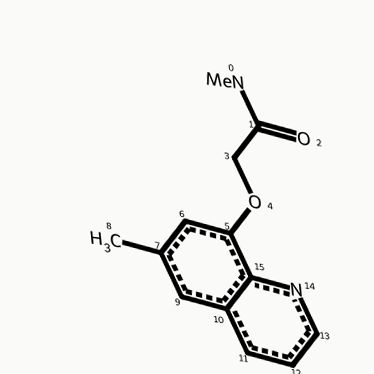 CNC(=O)COc1cc(C)cc2cccnc12